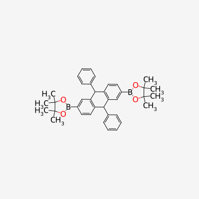 CC1(C)OB(c2ccc3c(c2)C(c2ccccc2)c2ccc(B4OC(C)(C)C(C)(C)O4)cc2C3c2ccccc2)OC1(C)C